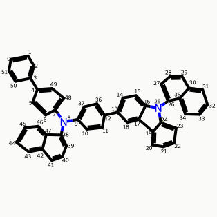 c1ccc(-c2ccc(N(c3ccc(-c4ccc5c(c4)c4ccccc4n5-c4cccc5ccccc45)cc3)c3cccc4ccccc34)cc2)cc1